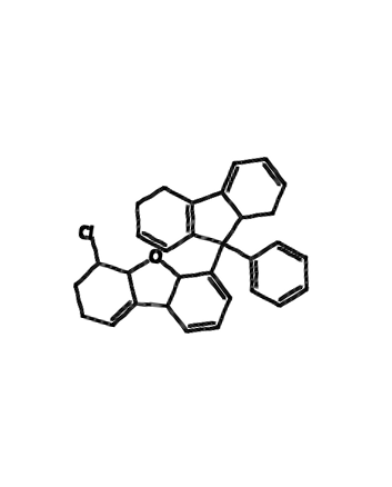 ClC1CCC=C2C3C=CC=C(C4(c5ccccc5)C5=C(CCC=C5)C5=CC=CCC54)C3OC21